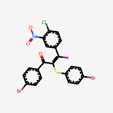 O=C(C(Sc1ccc(Br)cc1)=C(I)c1ccc(Cl)c([N+](=O)[O-])c1)c1ccc(Br)cc1